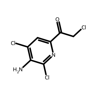 Nc1c(Cl)cc(C(=O)CCl)nc1Cl